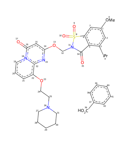 COc1cc(C(C)C)c2c(c1)S(=O)(=O)N(COc1cc(=O)n3cccc(OCCN4CCCCC4)c3n1)C2=O.O=C(O)c1ccccc1